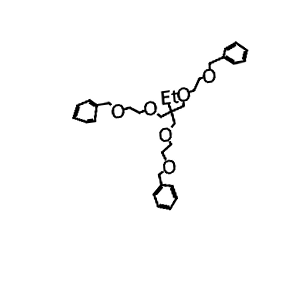 CCC(COCCOCc1ccccc1)(COCCOCc1ccccc1)COCCOCc1ccccc1